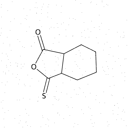 O=C1OC(=S)C2CCCCC12